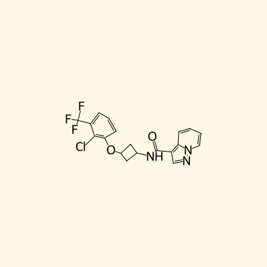 O=C(NC1CC(Oc2cccc(C(F)(F)F)c2Cl)C1)c1cnn2ccccc12